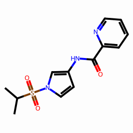 CC(C)S(=O)(=O)n1ccc(NC(=O)c2ccccn2)c1